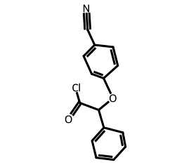 N#Cc1ccc(OC(C(=O)Cl)c2ccccc2)cc1